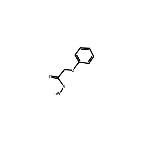 [CH2]CCSC(=O)COc1ccccc1